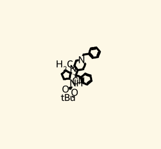 C=N[C@]1(C(C#N)(c2ccccc2)C2CCN(Cc3ccccc3)CC2)CCC[C@@H]1NC(=O)OC(C)(C)C